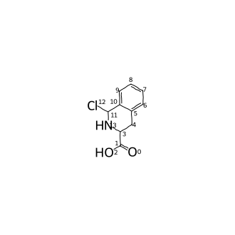 O=C(O)C1Cc2ccccc2C(Cl)N1